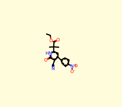 CCOC(=O)C(C)(C)c1cc(-c2ccc([N+](=O)[O-])cc2)c(C#N)c(=O)[nH]1